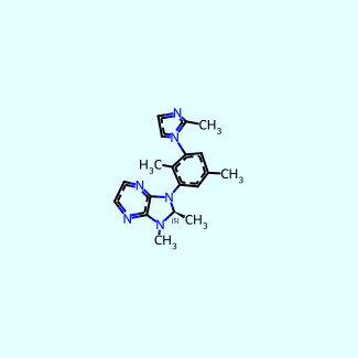 Cc1cc(N2c3nccnc3N(C)[C@@H]2C)c(C)c(-n2ccnc2C)c1